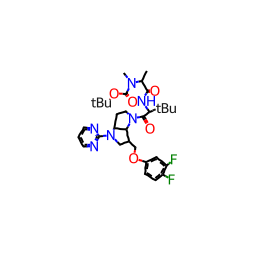 CC(C(=O)NC(C(=O)N1CCC2C1C(COc1ccc(F)c(F)c1)CN2c1ncccn1)C(C)(C)C)N(C)C(=O)OC(C)(C)C